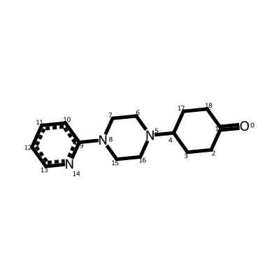 O=C1CCC(N2CCN(c3ccccn3)CC2)CC1